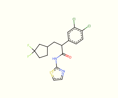 O=C(Nc1nccs1)C(CC1CCC(F)(F)C1)c1ccc(Cl)c(Cl)c1